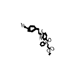 CCOC(=O)CCN(C(=O)c1ccc2sc(CCc3ccc(C#N)cc3)nc2c1)c1ccccc1